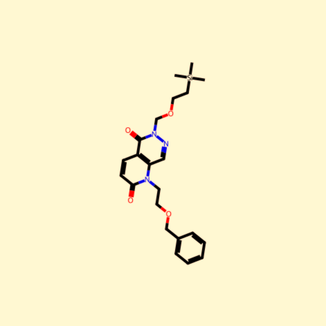 C[Si](C)(C)CCOCn1ncc2c(ccc(=O)n2CCOCc2ccccc2)c1=O